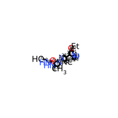 C#CCNC(=O)NC1(C)CCN(c2ccc(-c3cc(OCC)cn4ncc(C#N)c34)cn2)CC1